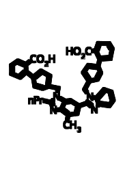 CCCc1nc2c(C)cc(-c3nc4ccccc4n3Cc3ccc(-c4ccccc4C(=O)O)cc3)cc2n1Cc1ccc(-c2ccccc2C(=O)O)cc1